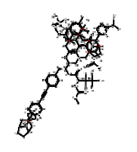 COC(=O)N[C@H](C(=O)N[C@@H](Cc1ccc(C#Cc2cnc(N3CC4CCC(C3)N4C3COC3)nc2)cc1)[C@H](CN(Cc1c(F)cc(-c2ccn(C(F)F)n2)cc1F)NC(=O)[C@@H](NC(=O)OC)C(C)(C)C(F)(F)F)OC(=O)CC(C)(C)c1c(CC(=O)N2CC[C@H](C(=O)O)C2)cc(C)cc1OP(=O)(O)O)C(C)(C)C(F)(F)F